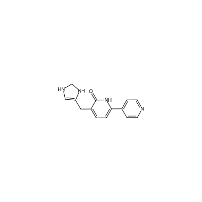 O=c1[nH]c(-c2ccncc2)ccc1CC1=CNCN1